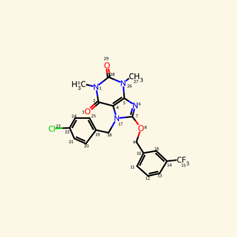 Cn1c(=O)c2c(nc(OCc3cccc(C(F)(F)F)c3)n2Cc2ccc(Cl)cc2)n(C)c1=O